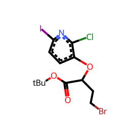 CC(C)(C)OC(=O)C(CCBr)Oc1ccc(I)nc1Cl